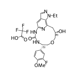 CCn1ncc2cc3nc(c21)C[C@@H](O)COC[C@H](c1ccc(OC)c(F)c1)NC(=O)N3.O=C(O)C(F)(F)F